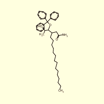 CCCCCCCCCCCCCCCC(CC(N)=O)C(OC(c1ccccc1)(c1ccccc1)c1ccccc1)C(C)O